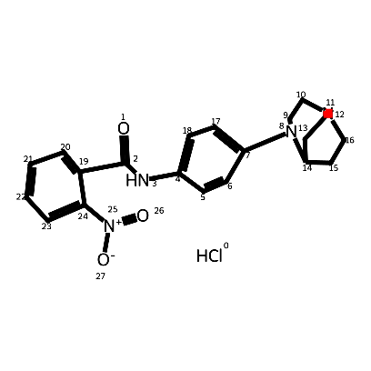 Cl.O=C(Nc1ccc(N2CCN3CCC2CC3)cc1)c1ccccc1[N+](=O)[O-]